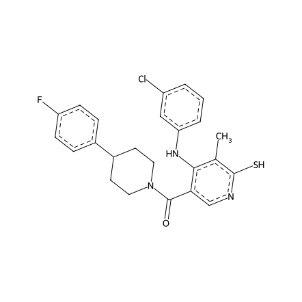 Cc1c(S)ncc(C(=O)N2CCC(c3ccc(F)cc3)CC2)c1Nc1cccc(Cl)c1